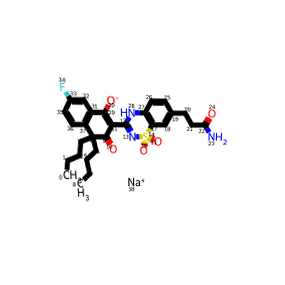 CCCCC1(CCCC)C(=O)C(C2=NS(=O)(=O)c3cc(CCC(N)=O)ccc3N2)=C([O-])c2cc(F)ccc21.[Na+]